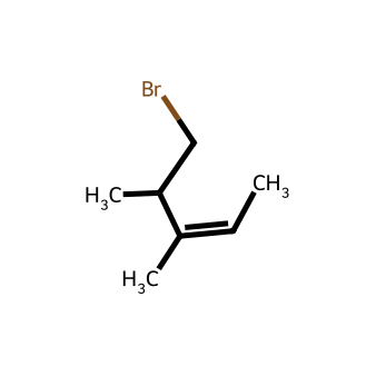 CC=C(C)C(C)CBr